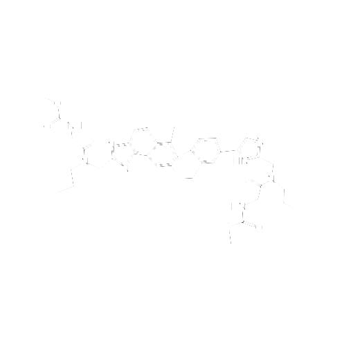 CCCN(Cc1ncc(-c2ccc3c(c2)COc2cc4c(ccc5nc(CN(C(=O)CNC(=O)OC)[C@@H](C)CC)[nH]c54)c(C)c2-3)[nH]1)C(=O)CNC(=O)OC